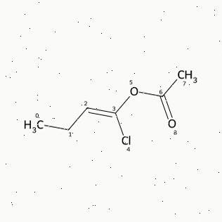 CC/C=C(\Cl)OC(C)=O